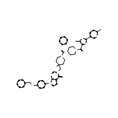 Cc1ccc(-c2nc(C)c(C(=O)N3CC[C@@H](C(=O)N4CCC(O)(Cn5cnc6c(ccn6-c6ccc(OCc7ccccc7)cc6)c5=O)CC4)[C@H](c4ccccc4)C3)s2)cn1